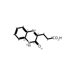 O=C(O)CCc1nc2ccccc2[nH]c1=O